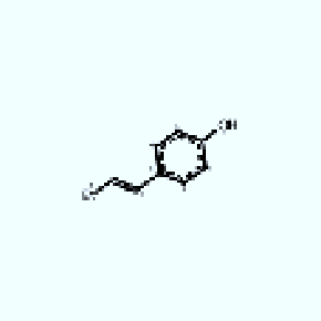 CC/C=C/c1ccc(O)cc1